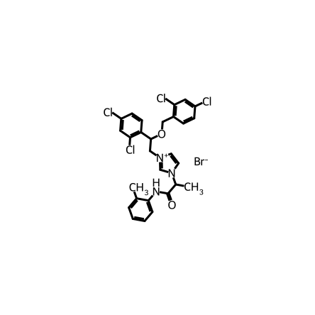 Cc1ccccc1NC(=O)C(C)n1cc[n+](CC(OCc2ccc(Cl)cc2Cl)c2ccc(Cl)cc2Cl)c1.[Br-]